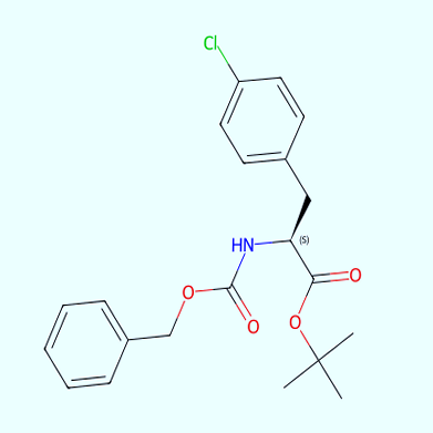 CC(C)(C)OC(=O)[C@H](Cc1ccc(Cl)cc1)NC(=O)OCc1ccccc1